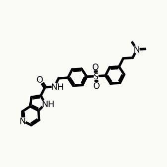 CN(C)CCc1cccc(S(=O)(=O)c2ccc(CNC(=O)c3cc4cnccc4[nH]3)cc2)c1